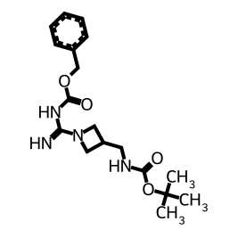 CC(C)(C)OC(=O)NCC1CN(C(=N)NC(=O)OCc2ccccc2)C1